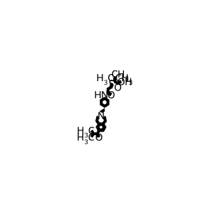 CC(C)C(=O)c1ccc2c(c1)CCN(CC[C@H]1CC[C@H](NC(=O)CCSC(C(=O)O)C(C)(C)C)CC1)CC2